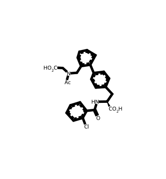 CC(=O)N(CC(=O)O)Cc1ccccc1-c1ccc(C[C@H](NC(=O)c2ccccc2Cl)C(=O)O)cc1